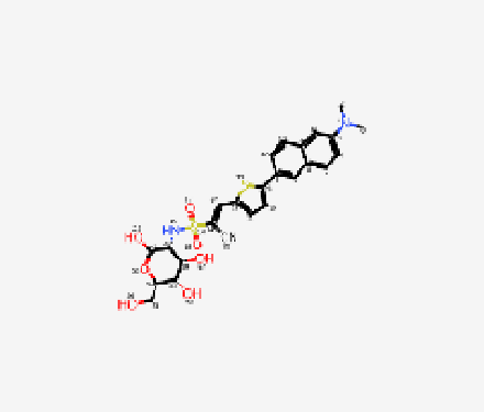 CN(C)c1ccc2cc(-c3ccc(/C=C(\C#N)S(=O)(=O)N[C@H]4C(O)O[C@H](CO)[C@@H](O)[C@@H]4O)s3)ccc2c1